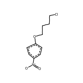 O=[N+]([O-])c1ccc(OCCCCCl)cc1